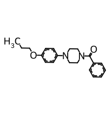 CCCOc1ccc(N2CCN(C(=O)c3ccccc3)CC2)cc1